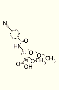 CCOCOC[C@H](C[C@H](COC)C(=O)O)NC(=O)c1ccc(C#N)cc1